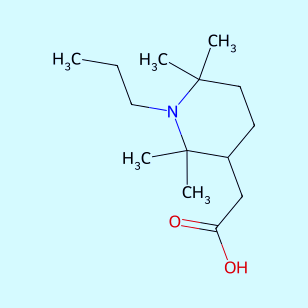 CCCN1C(C)(C)CCC(CC(=O)O)C1(C)C